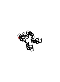 O=C(CCC(=O)OCN1C(=O)CCc2ccc(OCCCCN3CCN(c4cccc(Cl)c4Cl)CC3)cc21)OCN1C(=O)CCc2ccc(OCCCCN3CCN(c4cccc(Cl)c4Cl)CC3)cc21